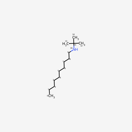 CCCCCCCCCCNC(C)(C)C